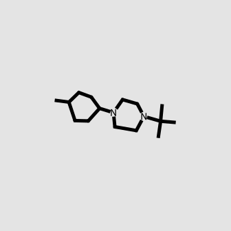 CC1CCC(N2CCN(C(C)(C)C)CC2)CC1